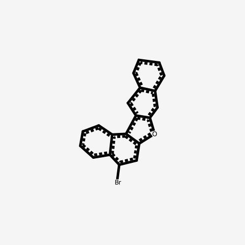 Brc1cc2oc3cc4ccccc4cc3c2c2ccccc12